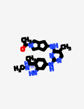 CN/C(C)=C1/C=CC(Nc2ncc(C)c(NC3CC4CN(C(C)=O)CC4C3)n2)=CC1=N